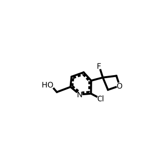 OCc1ccc(C2(F)COC2)c(Cl)n1